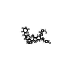 CCOc1cc2c(cc1OCC)C(=O)C(CC1CCN(CC3CCCCC3)CC1)C2.Cl